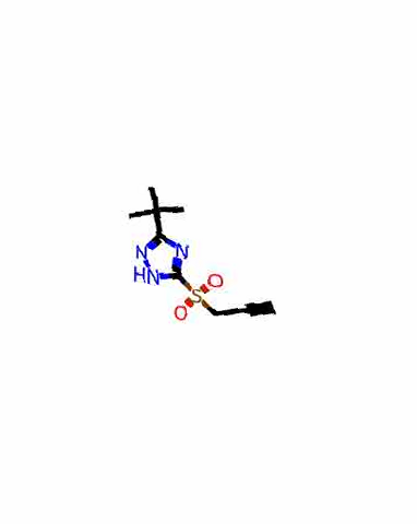 C#CCS(=O)(=O)c1nc(C(C)(C)C)n[nH]1